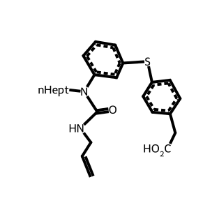 C=CCNC(=O)N(CCCCCCC)c1cccc(Sc2ccc(CC(=O)O)cc2)c1